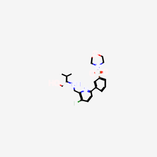 CC(C)[C@H](CO)NCc1nc(-c2cccc(S(=O)(=O)N3CCOCC3)c2)ccc1F